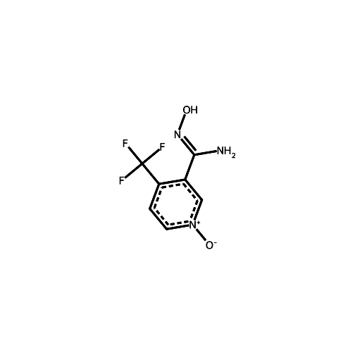 NC(=NO)c1c[n+]([O-])ccc1C(F)(F)F